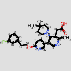 Cc1ncc(-c2ccc(OCCc3cccc(F)c3)nc2)c(N2CCC(C)(C)CC2)c1CC(=O)O